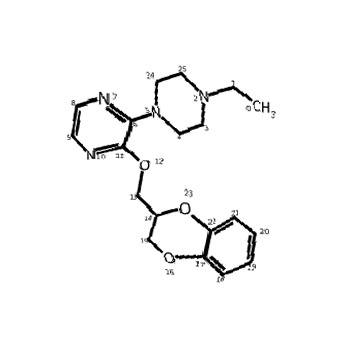 CCN1CCN(c2nccnc2OCC2COc3ccccc3O2)CC1